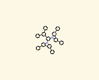 C1=CC(c2ccccc2)Cc2c1n(-c1cc(-c3cc(-c4ccccc4)cc(-c4ccccc4)c3)cc(-n3c4ccc(-c5ccccc5)cc4c4cc(-c5ccccc5)ccc43)c1)c1ccc(-c3ccccc3)cc21